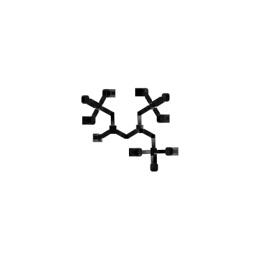 CCN(CN(CP(=O)(O)O)CP(=O)(O)O)CP(=O)(O)O